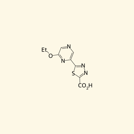 CCOc1cncc(-c2nnc(C(=O)O)s2)n1